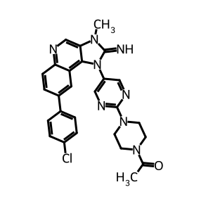 CC(=O)N1CCN(c2ncc(-n3c(=N)n(C)c4cnc5ccc(-c6ccc(Cl)cc6)cc5c43)cn2)CC1